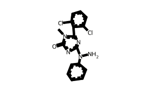 Cn1c(-c2c(Cl)cccc2Cl)nc(N(N)c2ccccc2)nc1=O